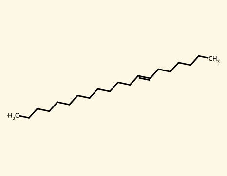 [CH2]CCCCCCCCCCC/C=C/CCCCCC